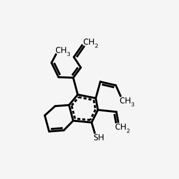 C=C/C=C(\C=C/C)c1c(/C=C\C)c(C=C)c(S)c2c1CCC=C2